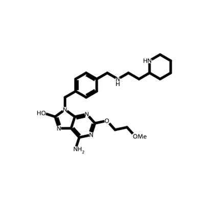 COCCOc1nc(N)c2nc(O)n(Cc3ccc(CNCCC4CCCCN4)cc3)c2n1